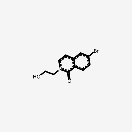 O=c1c2ccc(Br)cc2ccn1CCO